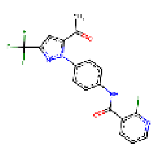 CC(=O)c1cc(C(F)(F)F)nn1-c1ccc(NC(=O)c2cccnc2F)cc1